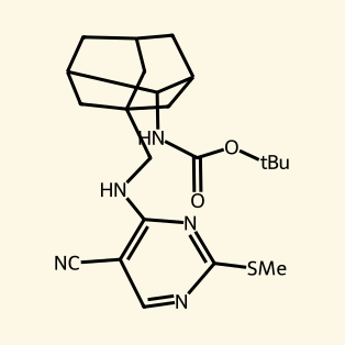 CSc1ncc(C#N)c(NCC23CC4CC(C2)C(NC(=O)OC(C)(C)C)C(C4)C3)n1